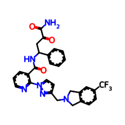 NC(=O)C(=O)CC(NC(=O)c1cccnc1-n1ccc(CN2Cc3ccc(C(F)(F)F)cc3C2)n1)c1ccccc1